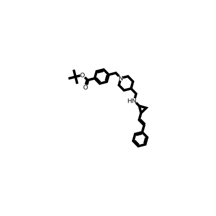 CC(C)(C)OC(=O)c1ccc(CN2CCC(CNC3CC3/C=C/c3ccccc3)CC2)cc1